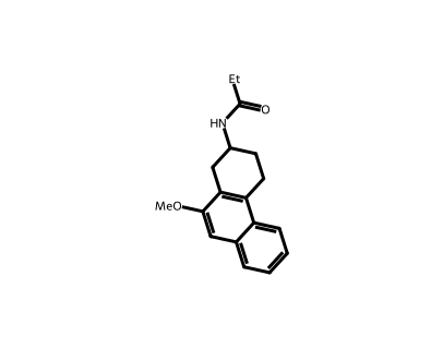 CCC(=O)NC1CCc2c(c(OC)cc3ccccc23)C1